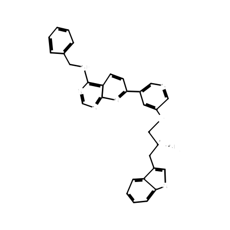 N[C@@H](COc1cncc(-c2ccc3c(NCc4ccccc4)ncnc3n2)c1)Cc1c[nH]c2ccccc12